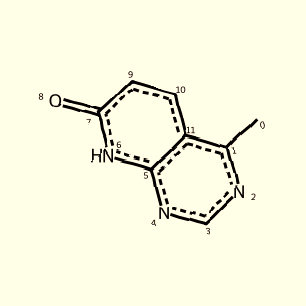 Cc1ncnc2[nH]c(=O)ccc12